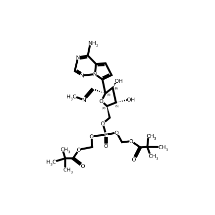 CN=C[C@@]1(c2ccc3c(N)ncnn23)O[C@H](COP(=O)(OCOC(=O)C(C)(C)C)OCOC(=O)C(C)(C)C)[C@@H](O)[C@H]1O